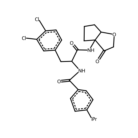 CC(C)c1ccc(C(=O)NC(Cc2ccc(Cl)c(Cl)c2)C(=O)NC23CCCC2OCC3=O)cc1